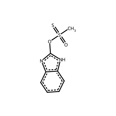 CS(=O)(=S)Oc1nc2ccccc2[nH]1